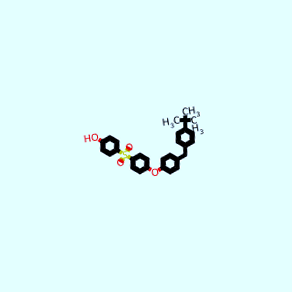 CC(C)(C)c1ccc(Cc2ccc(Oc3ccc(S(=O)(=O)c4ccc(O)cc4)cc3)cc2)cc1